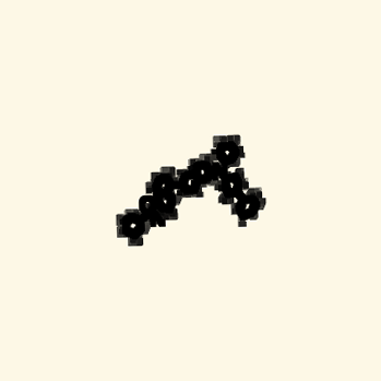 c1ccc(-c2ccc(N(c3ccccc3)c3ccc4cc(-c5cccc6c5ccc5nc(-c7ccccc7)oc56)ccc4c3)cc2)cc1